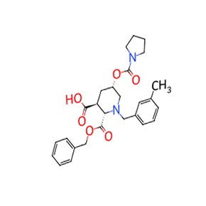 Cc1cccc(CN2C[C@@H](OC(=O)N3CCCC3)C[C@H](C(=O)O)[C@H]2C(=O)OCc2ccccc2)c1